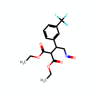 CCOC(=O)C(C(=O)OCC)C(CN=O)c1cccc(C(F)(F)F)c1